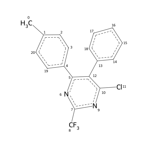 Cc1ccc(-c2nc(C(F)(F)F)nc(Cl)c2-c2ccccc2)cc1